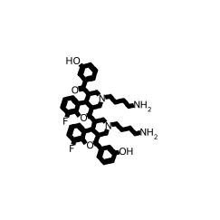 Cc1c(F)cccc1C1C(C(=O)c2cccc(O)c2)CN(CCCCN)CC1C(=O)C1CN(CCCCN)CC(C(=O)c2cccc(O)c2)C1c1cccc(F)c1C